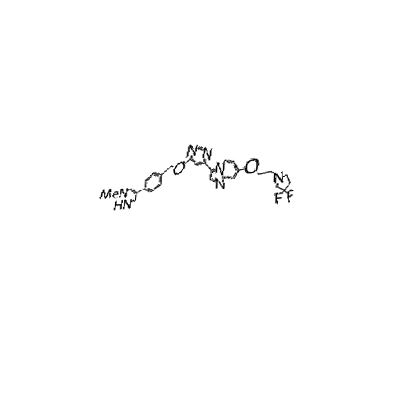 CN/C=C(\C=N)c1ccc(COc2cc(-c3cnc4cc(OCCN5CCC(F)(F)C5)ccn34)ncn2)cc1